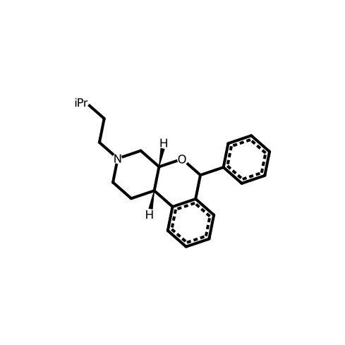 CC(C)CCN1CC[C@H]2c3ccccc3C(c3ccccc3)O[C@H]2C1